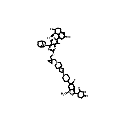 C#CC1=C(F)CCc2cc(O)cc(-c3ncc4c(N5CC6CCC(C5)N6)nc(OCC5(CN6CCC7(CC6)CC(N6CCC(c8cc9c(cc8F)c(C8CCC(=O)NC8=O)nn9C)CC6)C7)CC5)nc4c3F)c21